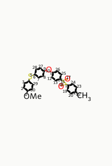 COc1ccc(Sc2ccc(Oc3ccc(S(=O)(=O)c4ccc(C)cc4)cc3)cc2)cc1